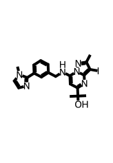 Cc1nn2c(NCc3cccc(-c4nccn4C)c3)cc(C(C)(C)O)nc2c1I